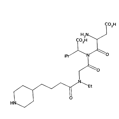 CCN(CC(=O)N(C(=O)C(N)CC(=O)O)C(C(=O)O)C(C)C)C(=O)CCCC1CCNCC1